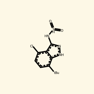 CC(C)(C)c1ccc(Cl)c2c(N[SH](=O)=O)n[nH]c12